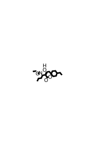 CCC/C(=N\OCC)C1=C(O)CC2(CCC(CC)CC2)OC1=O